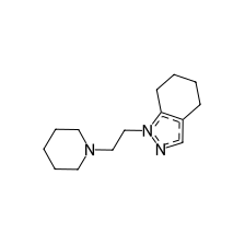 c1nn(CCN2CCCCC2)c2c1CCCC2